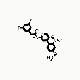 COc1ccc(-c2ccnc(NC(=O)Cc3cc(F)cc(F)c3)c2)c([N+](=O)[O-])c1